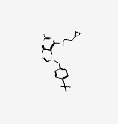 FC(F)(F)c1ccc(Cn2cnc3nc(Cl)nc(NCCC4CC4)c32)cc1